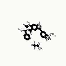 C[C@H](c1ccccc1)n1c(=O)[nH]c2cc3[nH]nc(-c4ccc5nnn(C)c5c4)c3cc2c1=O.O=C(O)C(F)(F)F